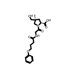 O=C(CCCOc1ccccc1)NCC(=O)N1C[C@@](F)(CO)C[C@H]1C(=O)O